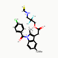 COc1ccc2c(c1)c(CC(=O)OCC(F)(F)CNC=S)c(C)n2C(=O)c1ccc(Cl)cc1